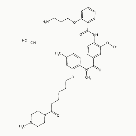 CCOc1cc(C(=O)N(C)c2ccc(C)cc2OCCCCCC(=O)N2CCN(C)CC2)ccc1NC(=O)c1ccccc1OCCCN.Cl.Cl